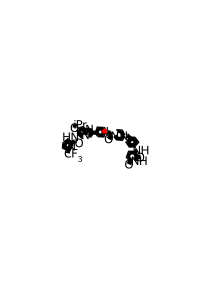 CC(C)Oc1cc2nc(C3CCN(CC(=O)N4CCN(Cc5ccc(NC6CCC(=O)NC6=O)cc5)CC4)CC3)cn2cc1NC(=O)c1cccc(C(F)(F)F)n1